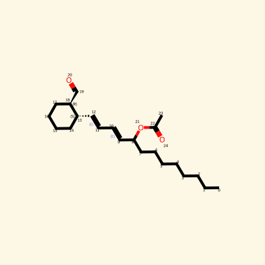 CCCCCCCCC(/C=C/C=C/[C@@H]1CCCC[C@H]1C=O)OC(C)=O